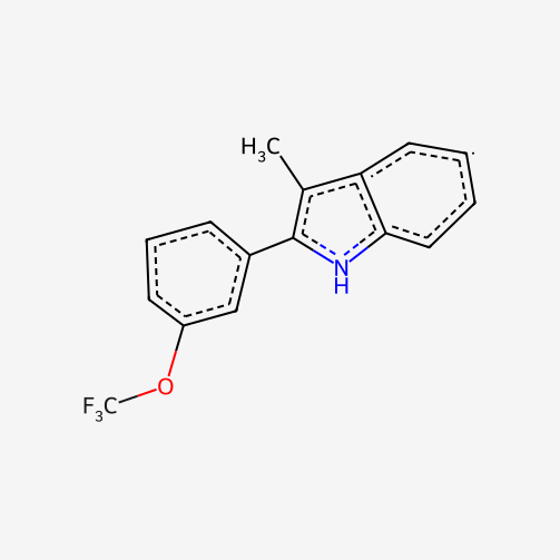 Cc1c(-c2cccc(OC(F)(F)F)c2)[nH]c2cc[c]cc12